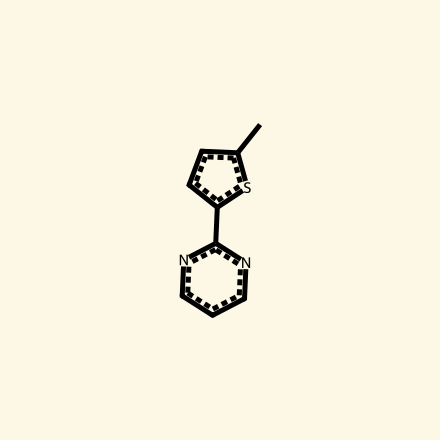 Cc1ccc(-c2ncccn2)s1